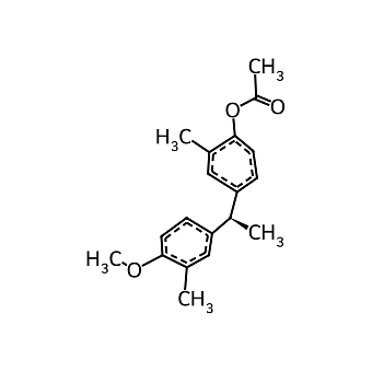 COc1ccc([C@H](C)c2ccc(OC(C)=O)c(C)c2)cc1C